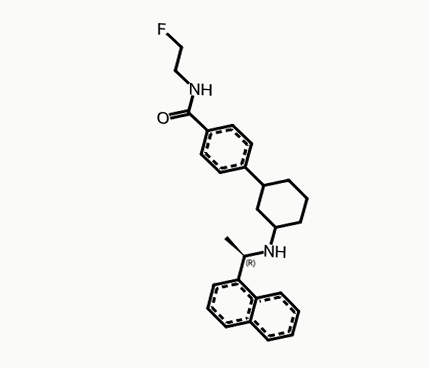 C[C@@H](NC1CCCC(c2ccc(C(=O)NCCF)cc2)C1)c1cccc2ccccc12